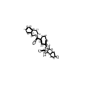 CC12CC(NC(=O)N1c1cccc(C(=O)N3CCc4ccccc4C3)c1)c1ccc(Cl)cc1O2